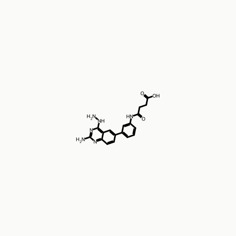 NNc1nc(N)nc2ccc(-c3cccc(NC(=O)CCC(=O)O)c3)cc12